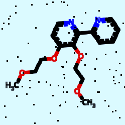 COCCOc1ccnc(-c2ccccn2)c1OCCOC